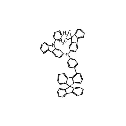 CC1(C)c2ccccc2-c2ccc(N(c3ccc(-c4cccc5c4-c4ccccc4C54c5ccccc5-c5ccccc54)cc3)c3ccc4c5ccccc5n(-c5ccccc5)c4c3)cc21